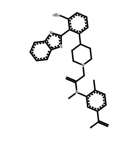 C=C(C)c1ccc(C)c(N(C)C(=C)CN2CCC(c3cccc(CCCC)c3-c3nc4ccccc4s3)CC2)c1